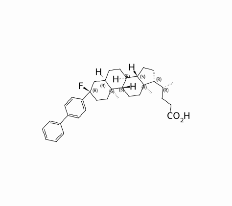 C[C@H](CCC(=O)O)[C@H]1CC[C@H]2[C@@H]3CC[C@@H]4C[C@@](F)(c5ccc(-c6ccccc6)cc5)CC[C@]4(C)[C@H]3CC[C@]12C